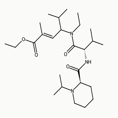 CCOC(=O)/C(C)=C/C(C(C)C)N(CC)C(=O)[C@@H](NC(=O)[C@H]1CCCCN1C(C)C)C(C)C